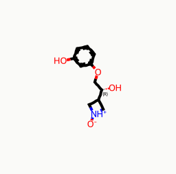 [O-][NH+]1CC([C@@H](O)COc2cccc(O)c2)C1